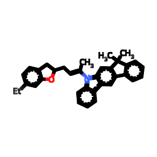 CCc1ccc2c(c1)OC(C/C=C(\C)n1c3ccccc3c3cc4c(cc31)C(C)(C)c1ccccc1-4)C2